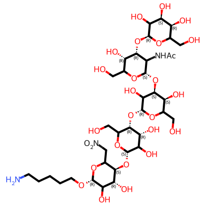 CC(=O)NC1[C@H](O[C@@H]2C(O)[C@@H](O[C@H]3C(CO)O[C@@H](O[C@@H]4C(C[N+](=O)[O-])O[C@@H](OCCCCCN)C(O)[C@H]4O)C(O)[C@H]3O)OC(CO)[C@@H]2O)OC(CO)[C@H](O)[C@@H]1O[C@@H]1OC(CO)[C@H](O)[C@H](O)C1O